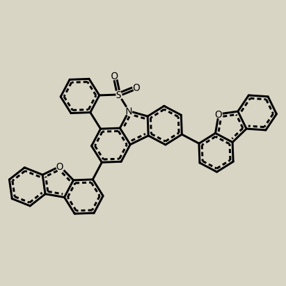 O=S1(=O)c2ccccc2-c2cc(-c3cccc4c3oc3ccccc34)cc3c4cc(-c5cccc6c5oc5ccccc56)ccc4n1c23